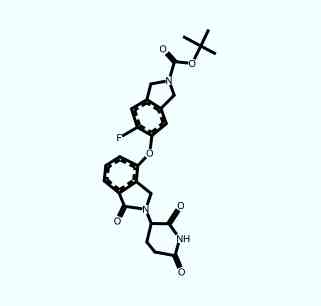 CC(C)(C)OC(=O)N1Cc2cc(F)c(Oc3cccc4c3CN(C3CCC(=O)NC3=O)C4=O)cc2C1